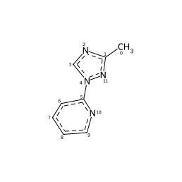 Cc1ncn(-c2ccccn2)n1